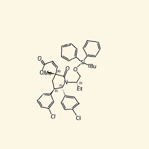 CC[C@@H](CO[Si](c1ccccc1)(c1ccccc1)C(C)(C)C)N1C(=O)[C@@](C)(C=CC(=O)OC)C[C@H](c2cccc(Cl)c2)[C@H]1c1ccc(Cl)cc1